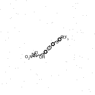 O=[N+]([O-])c1cn(CCC(O)COc2ccc(N3CCN(c4ccc(COc5ccc(OC(F)(F)F)cc5)cc4)CC3)cc2)c(Cl)n1